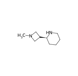 CN1CC([C@@H]2CCCCN2)C1